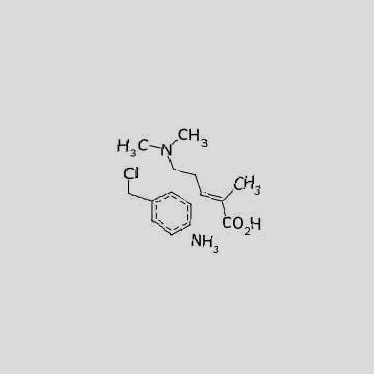 CC(=CCCN(C)C)C(=O)O.ClCc1ccccc1.N